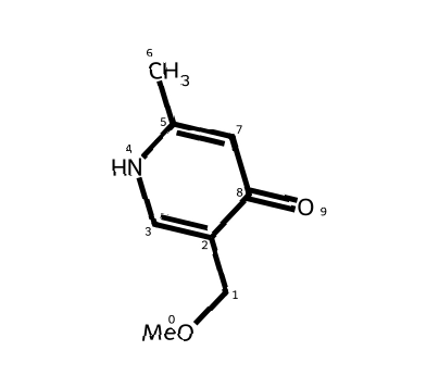 COCc1c[nH]c(C)cc1=O